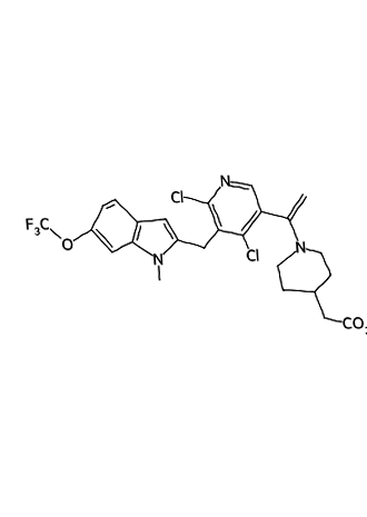 C=C(c1cnc(Cl)c(Cc2cc3ccc(OC(F)(F)F)cc3n2C)c1Cl)N1CCC(CC(=O)O)CC1